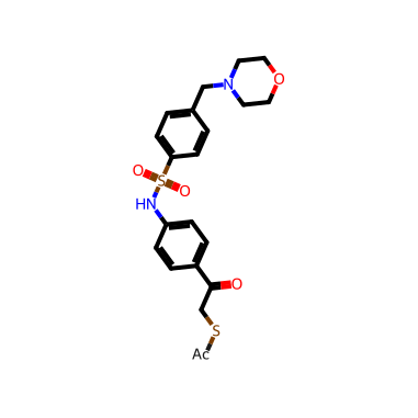 CC(=O)SCC(=O)c1ccc(NS(=O)(=O)c2ccc(CN3CCOCC3)cc2)cc1